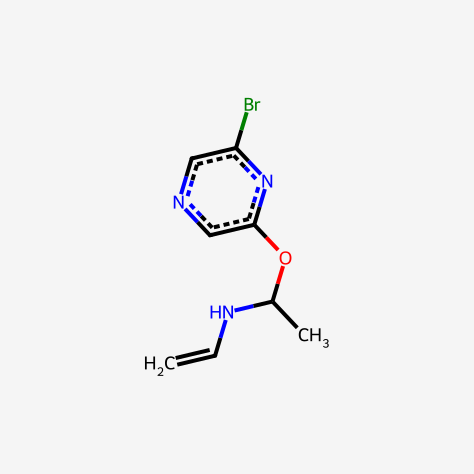 C=CNC(C)Oc1cncc(Br)n1